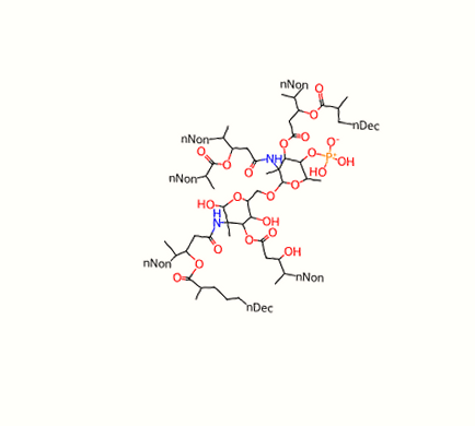 CCCCCCCCCCCCCC(C)C(=O)OC(CC(=O)NC1(C)C(O)OC(COC2OC(C)C(O[P+]([O-])(O)O)C(OC(=O)CC(OC(=O)C(C)CCCCCCCCCCC)C(C)CCCCCCCCC)C2(C)NC(=O)CC(OC(=O)C(C)CCCCCCCCC)C(C)CCCCCCCCC)C(O)C1OC(=O)CC(O)C(C)CCCCCCCCC)C(C)CCCCCCCCC